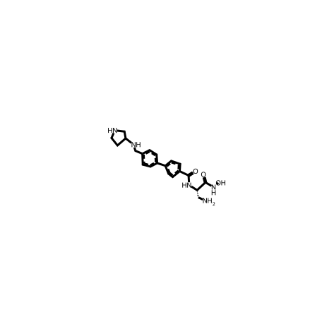 NC[C@H](NC(=O)c1ccc(-c2ccc(CNC3CCNC3)cc2)cc1)C(=O)NO